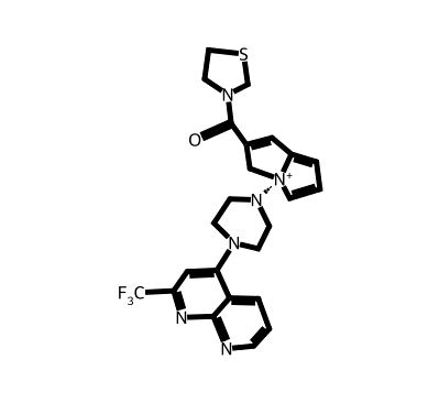 O=C(C1=CC2=CC=C[N@@+]2(N2CCN(c3cc(C(F)(F)F)nc4ncccc34)CC2)C1)N1CCSC1